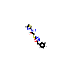 O=C(CSc1nnc(Cc2ccccc2)o1)Nc1nccs1